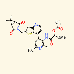 COC(OC(=O)C(F)(F)F)C(=O)Nc1c(-c2ccnc3cc(CN4C(=O)C5C(C4=O)C5(C)C)sc23)cc(C(F)(F)F)nc1C